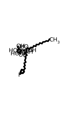 CCCCCCCCCCCCCC[C@@H](O)[C@@H](O)[C@H](CO[C@H]1OC(CO)[C@H](O)[C@H](O)C1O)NC(=O)CCCCCCCCCc1ccc(F)cc1